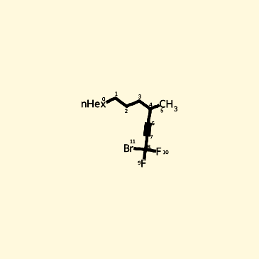 CCCCCCCCCC(C)C#CC(F)(F)Br